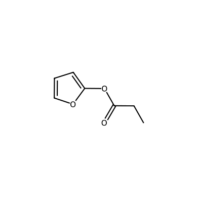 CCC(=O)Oc1ccco1